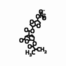 C=C(C)C(=O)OC1C2CC3C1OC(=O)C3C2C(=O)OC1COC2C(O[N+](=O)[O-])COC12